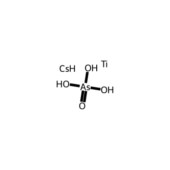 O=[As](O)(O)O.[CsH].[Ti]